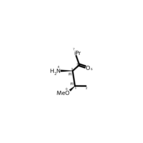 CO[C@H](C)[C@@H](N)C(=O)C(C)C